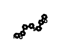 c1cc(Sc2cccc(-c3ccc4c(c3)oc3ccccc34)c2)cc(-c2cccc(-c3ccc4oc5cnccc5c4c3)c2)c1